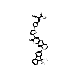 CC1(C)c2ccccc2-c2ccc(N3CCCc4cc5cc(-c6ccc(-c7ccc(/C=C(\C#N)C(=O)O)s7)s6)c(=O)oc5cc43)cc21